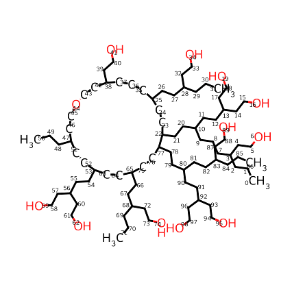 CCCC(CCO)CCCC(CCC(CCO)CCO)CCC1CCC(CCC(CCC)CCO)CCCC(CCO)CCOCCC(CCC)CCC(CCC(CCO)CCO)CCC(CCC(CCC)CCO)CCC1CCC(CCC(CCC)CCO)CCC(CCO)CCO